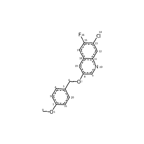 COc1ccc(COc2cnc3cc(Cl)c(F)cc3c2)cc1